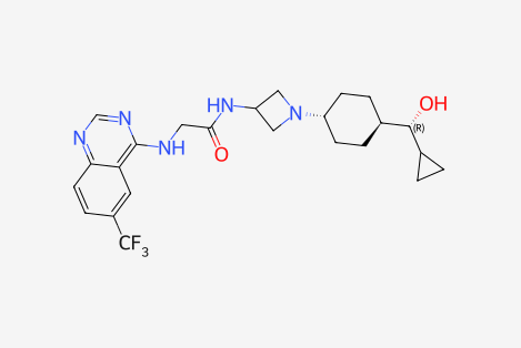 O=C(CNc1ncnc2ccc(C(F)(F)F)cc12)NC1CN([C@H]2CC[C@H]([C@H](O)C3CC3)CC2)C1